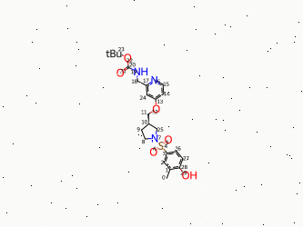 Cc1cc(S(=O)(=O)N2CC[C@@H](COc3ccnc(CNC(=O)OC(C)(C)C)c3)C2)ccc1O